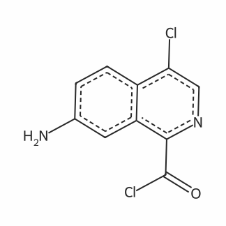 Nc1ccc2c(Cl)cnc(C(=O)Cl)c2c1